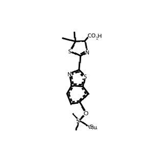 CC1(C)SC(c2nc3ccc(O[Si](C)(C)C(C)(C)C)cc3s2)=NC1C(=O)O